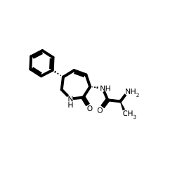 C[C@H](N)C(=O)N[C@H]1C=C[C@@H](c2ccccc2)CNC1=O